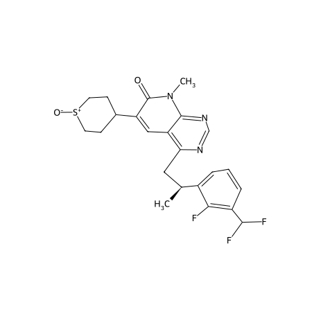 C[C@@H](Cc1ncnc2c1cc(C1CC[S+]([O-])CC1)c(=O)n2C)c1cccc(C(F)F)c1F